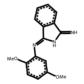 COc1ccc(OC)c(N=C2NC(=N)c3ccccc32)c1